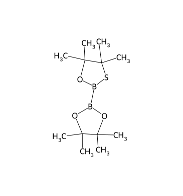 CC1(C)OB(B2OC(C)(C)C(C)(C)S2)OC1(C)C